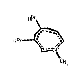 CCCc1cc[n+](C)cc1CCC